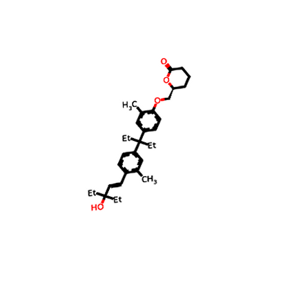 CCC(O)(/C=C/c1ccc(C(CC)(CC)c2ccc(OC[C@@H]3CCCC(=O)O3)c(C)c2)cc1C)CC